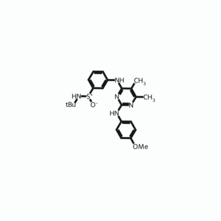 COc1ccc(Nc2nc(C)c(C)c(Nc3cccc([S+]([O-])NC(C)(C)C)c3)n2)cc1